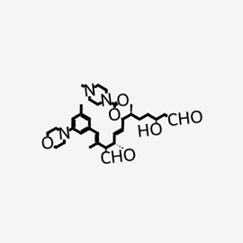 C/C(=C\c1cc(C)cc(N2CCOCC2)c1)[C@@H](C=O)[C@@H](C)/C=C/[C@H](OC(=O)N1CCN(C)CC1)[C@@H](C)CC[C@@H](O)CC=O